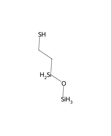 [SiH3]O[SiH2]CCS